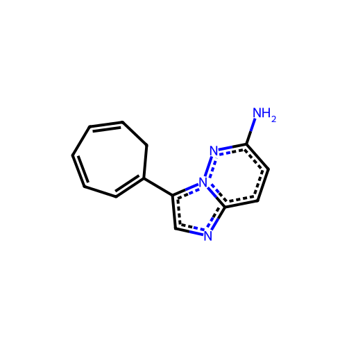 Nc1ccc2ncc(C3=CC=CC=CC3)n2n1